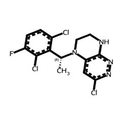 C[C@H](c1c(Cl)ccc(F)c1Cl)N1CCNc2nnc(Cl)cc21